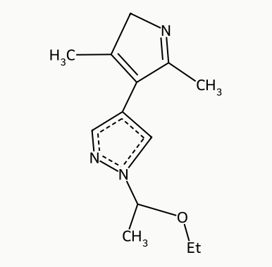 CCOC(C)n1cc(C2=C(C)CN=C2C)cn1